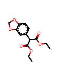 CCOC(=O)C(C(=O)OCC)c1ccc2c(c1)OCO2